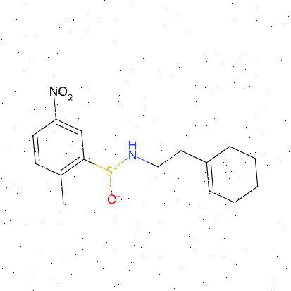 Cc1ccc([N+](=O)[O-])cc1[S+]([O-])NCCC1=CCCCC1